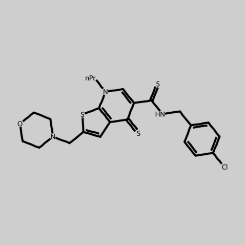 CCCn1cc(C(=S)NCc2ccc(Cl)cc2)c(=S)c2cc(CN3CCOCC3)sc21